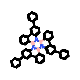 c1ccc(-c2ccc3c(c2)-c2ccccc2B2N3B3c4ccccc4-c4cc(-c5ccccc5)ccc4N3B3c4ccccc4-c4cc(-c5ccccc5)ccc4N23)cc1